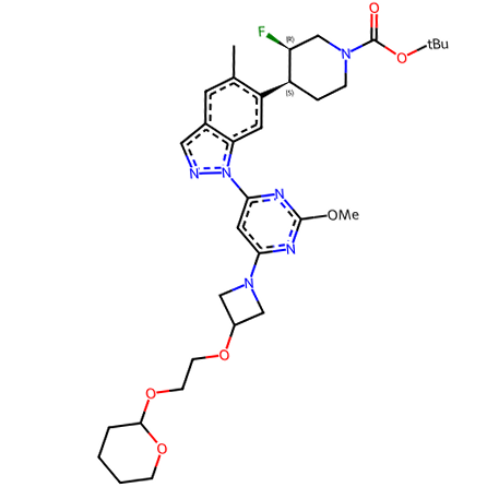 COc1nc(N2CC(OCCOC3CCCCO3)C2)cc(-n2ncc3cc(C)c([C@@H]4CCN(C(=O)OC(C)(C)C)C[C@@H]4F)cc32)n1